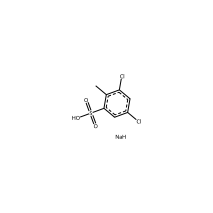 Cc1c(Cl)cc(Cl)cc1S(=O)(=O)O.[NaH]